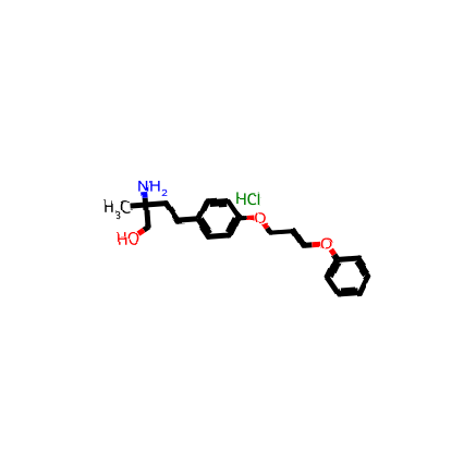 CC(N)(CO)CCc1ccc(OCCCOc2ccccc2)cc1.Cl